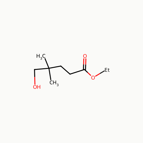 CCOC(=O)CCC(C)(C)CO